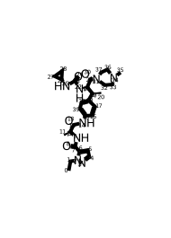 CCn1nccc1C(=O)N[C@@H](C)C(=O)Nc1ccc([C@H](C)[C@@H](NC(=O)NC2CC2)C(=O)N2CCN(C)CC2)cc1